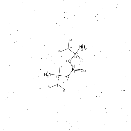 CC(C)C(C)(N)O[PH](=O)OC(C)(N)C(C)C